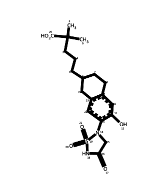 CC(C)(CCCC1CCc2cc(O)c(N3CC(=O)NS3(=O)=O)cc2C1)C(=O)O